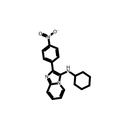 O=[N+]([O-])c1ccc(-c2nc3ccccn3c2NC2CCCCC2)cc1